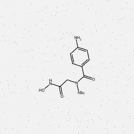 CCCCN(CC(=O)NO)C(=O)c1ccc(N)cc1